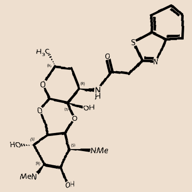 CN[C@@H]1C2O[C@]3(O)C(OC2[C@@H](O)[C@H](NC)C1O)O[C@H](C)C[C@H]3NC(=O)Cc1nc2ccccc2s1